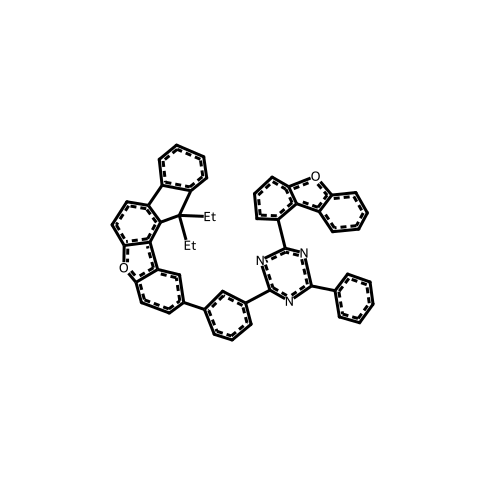 CCC1(CC)c2ccccc2-c2ccc3oc4ccc(-c5cccc(-c6nc(-c7ccccc7)nc(-c7cccc8oc9ccccc9c78)n6)c5)cc4c3c21